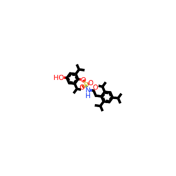 CC(C)c1cc(C(C)C)c(CC(=O)NS(=O)(=O)Oc2c(C(C)C)cc(O)cc2C(C)C)c(C(C)C)c1